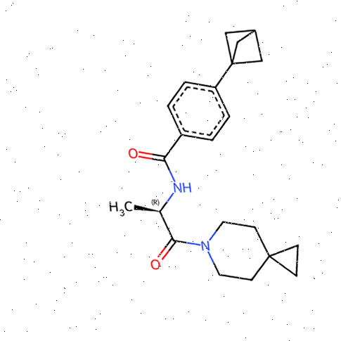 C[C@@H](NC(=O)c1ccc(C23CC(C2)C3)cc1)C(=O)N1CCC2(CC1)CC2